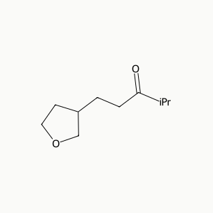 CC(C)C(=O)CCC1CCOC1